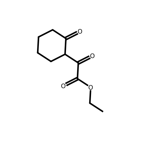 CCOC(=O)C(=O)C1CCCCC1=O